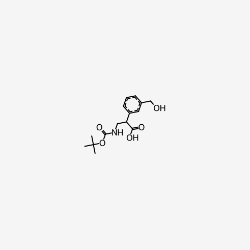 CC(C)(C)OC(=O)NCC(C(=O)O)c1cccc(CO)c1